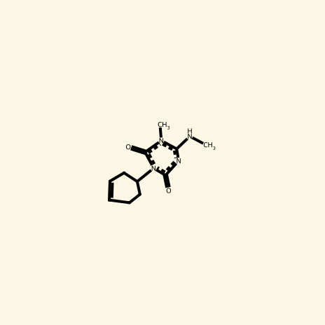 CNc1nc(=O)n(C2CC=CCC2)c(=O)n1C